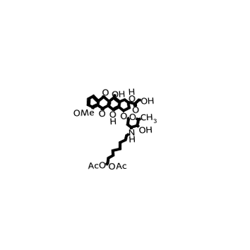 COc1cccc2c1C(=O)c1c(O)c3c(c(O)c1C2=O)C[C@@](O)(C(=O)CO)C[C@@H]3OC1CC(NCCCCCCCC(OC(C)=O)OC(C)=O)C(O)C(C)O1